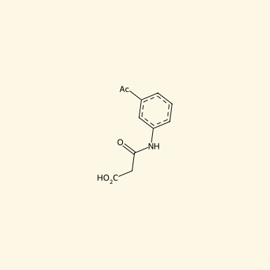 CC(=O)c1cccc(NC(=O)CC(=O)O)c1